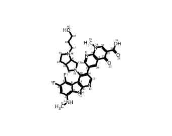 CNc1cc(F)c(F)c2c1[nH]c1ncc(-c3cnc4c(c3)c(=O)c(C(=O)O)cn4C)c(N3CC4CCN(CCCO)C4C3)c12